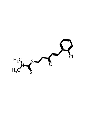 CN(C)C(=S)SCCC(=O)C=Cc1ccccc1Cl